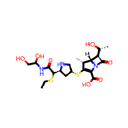 CCSC(C(=O)NC(O)CO)[C@@H]1C[C@H](SC2=C(C(=O)O)N3C(=O)[C@H]([C@@H](C)O)[C@H]3[C@H]2C)CN1